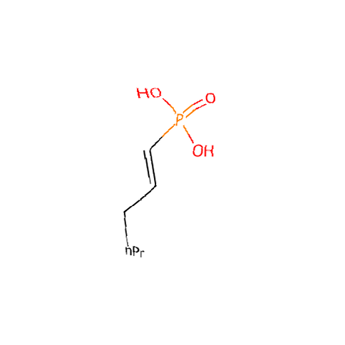 CCCCC=CP(=O)(O)O